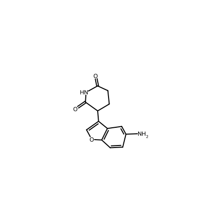 Nc1ccc2occ(C3CCC(=O)NC3=O)c2c1